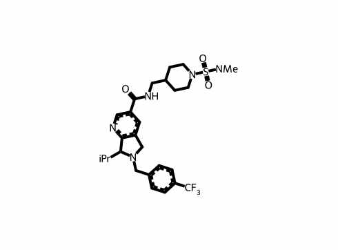 CNS(=O)(=O)N1CCC(CNC(=O)c2cnc3c(c2)CN(Cc2ccc(C(F)(F)F)cc2)C3C(C)C)CC1